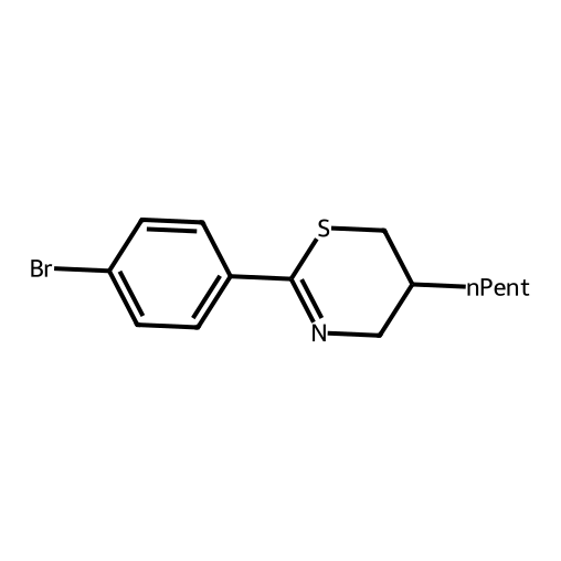 CCCCCC1CN=C(c2ccc(Br)cc2)SC1